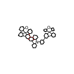 c1ccc(-c2ccccc2N(c2cccc(-c3ccc4c(c3)-c3ccccc3C43c4ccccc4Oc4ccccc43)c2)c2cccc(-c3ccc4c(c3)C3(c5ccccc5Oc5ccccc53)c3ccccc3-4)c2)cc1